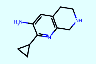 Nc1cc2c(nc1C1CC1)CNCC2